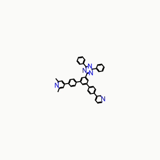 Cc1cc(-c2ccc(-c3cc(-c4ccc(-c5cccnc5)cc4)cc(-c4nc(-c5ccccc5)nc(-c5ccccc5)n4)c3)cc2)cc(C)n1